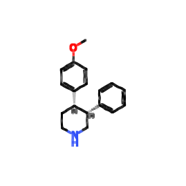 COc1ccc([C@H]2CCNC[C@H]2c2ccccc2)cc1